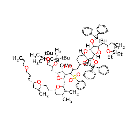 C=CCOCC=C[C@H]1CC(=C)[C@H](CC[C@H]2C[C@@H](C)C(=C)[C@@H](C[C@@H]3O[C@H](C[C@@H](CO[Si](C)(C)C(C)(C)C)O[Si](C)(C)C(C)(C)C)[C@H](OC)[C@H]3[C@@H](C(O)C[C@H]3CC[C@@H]4O[C@@H]5[C@@H](O[C@H](CC(C=C)O[Si](CC)(CC)CC)[C@@H]5O[Si](c5ccccc5)(c5ccccc5)C(C)(C)C)[C@@H](O[Si](c5ccccc5)(c5ccccc5)C(C)(C)C)[C@H]4O3)S(=O)(=O)c3ccccc3)O2)O1